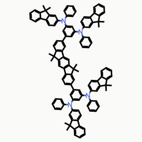 CC1(C)c2ccccc2-c2ccc(N(c3ccccc3)c3cc(-c4ccc5c(c4)-c4cc6c(cc4C5(C)C)-c4ccc(-c5cc(N(c7ccccc7)c7ccc8c(c7)C(C)(C)c7ccccc7-8)cc(N(c7ccccc7)c7ccc8c(c7)C(C)(C)c7ccccc7-8)c5)cc4C6(C)C)cc(N(c4ccccc4)c4ccc5c(c4)C(C)(C)c4ccccc4-5)c3)cc21